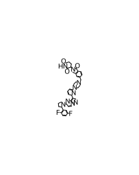 O=C1CCC(N2Cc3cc(CN4CCN(c5cccc(-c6cnn7ccc(N8CCCC8c8cc(F)ccc8F)nc67)n5)CC4)ccc3C2=O)C(=O)N1